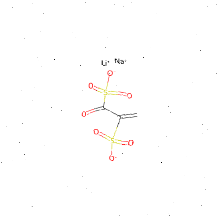 C=C(C(=O)S(=O)(=O)[O-])S(=O)(=O)[O-].[Li+].[Na+]